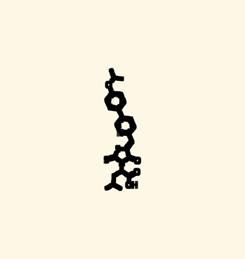 CC(C)CC(C(=O)O)N1C(=O)C(=Cc2ccc(-c3ccc(OC(C)C)cc3)cn2)SC1=S